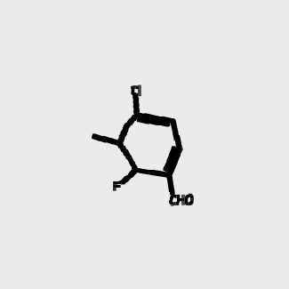 CC1C(Cl)=CC=C(C=O)C1F